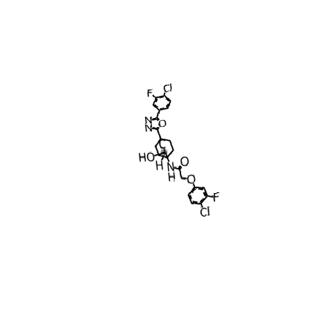 O=C(COc1ccc(Cl)c(F)c1)NC12CCC(c3nnc(-c4ccc(Cl)c(F)c4)o3)(CC1)C[C@H]2O